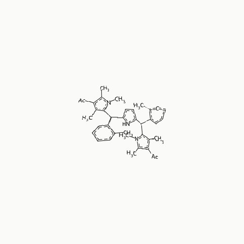 CC(=O)c1c(C)c(C(c2ccc(C(c3ccccc3C)c3c(C)c(C(C)=O)c(C)n3C)[nH]2)c2ccccc2C)n(C)c1C